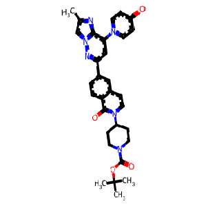 Cc1cn2nc(-c3ccc4c(=O)n(C5CCN(C(=O)OC(C)(C)C)CC5)ccc4c3)cc(-n3ccc(=O)cc3)c2n1